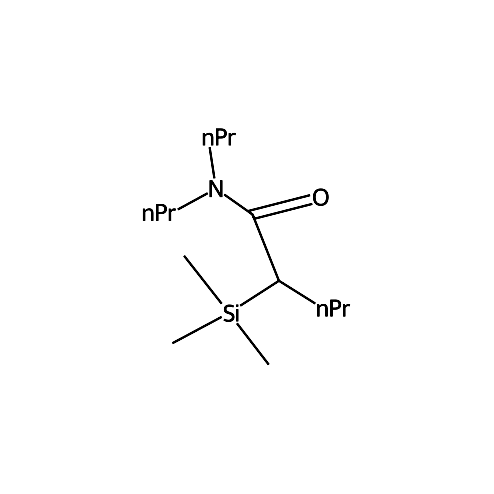 CCCC(C(=O)N(CCC)CCC)[Si](C)(C)C